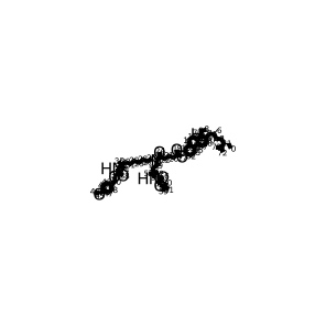 CC[C@H](CC[C@@H](C)[C@H]1CC[C@H]2[C@@H]3CC=C4C[C@@H](OC(=O)CCCC(=O)N(CCCCCCCC(C)(C)NC(=O)OCc5ccc(OC)cc5)CCC(C)(C)NC(=O)OC(C)(C)C)CC[C@]4(C)C3CC[C@]12C)C(C)C